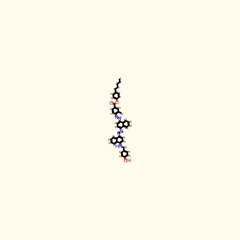 CCCCCc1ccc(OC(=O)c2ccc(N=Nc3ccc(N=Nc4ccc(NCc5ccc(O)cc5)c5ccccc45)c4ccccc34)c(C)c2)cc1